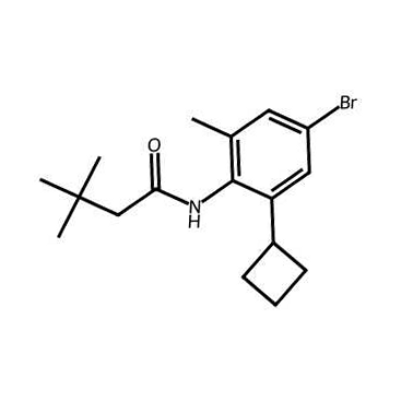 Cc1cc(Br)cc(C2CCC2)c1NC(=O)CC(C)(C)C